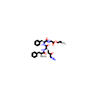 C=CCOC(=O)CNC(=O)[C@H](Cc1ccccc1)NC(=O)[C@H](CCC(=O)C=[N+]=[N-])NC(=O)[C@H](Cc1ccccc1)NC(C)=O